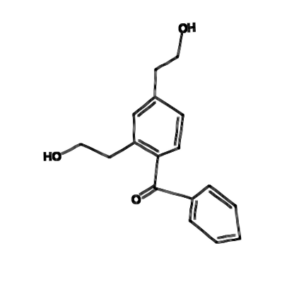 O=C(c1ccccc1)c1ccc(CCO)cc1CCO